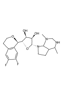 CC1NCN(C)C2C1CCN2[C@@H]1O[C@H]([C@@H]2OCCc3cc(F)c(F)cc32)[C@@H](O)[C@H]1O